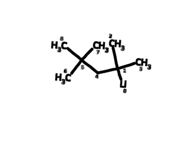 [Li][C](C)(C)CC(C)(C)C